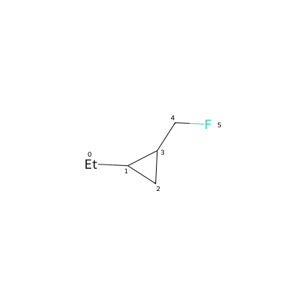 CCC1CC1CF